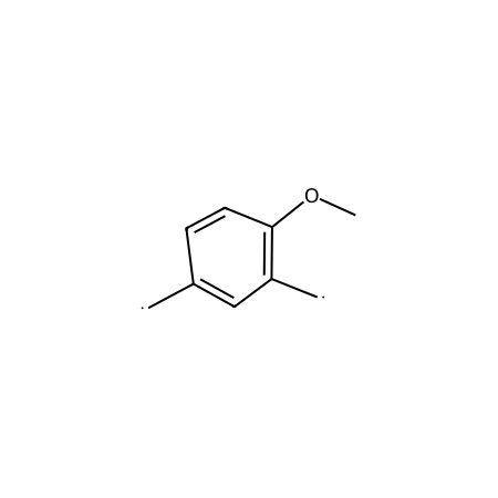 [CH2]c1ccc(OC)c([CH2])c1